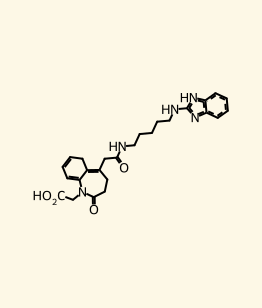 O=C(O)CN1C(=O)CCC(CC(=O)NCCCCCNc2nc3ccccc3[nH]2)=C2CC=CC=C21